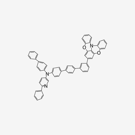 c1ccc(-c2ccc(N(c3ccc(-c4ccc(-c5cccc(-c6cc7c8c(c6)Oc6ccccc6N8c6ccccc6O7)c5)cc4)cc3)c3ccc(-c4ccccc4)nc3)cc2)cc1